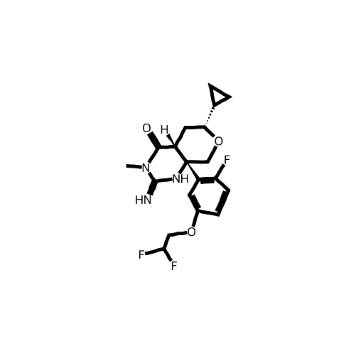 CN1C(=N)N[C@@]2(c3cc(OCC(F)F)ccc3F)CO[C@@H](C3CC3)C[C@H]2C1=O